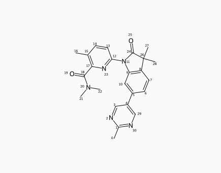 Cc1ncc(-c2ccc3c(c2)N(c2ccc(C)c(C(=O)N(C)C)n2)C(=O)C3(C)C)cn1